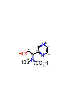 CC(C)(C)N(C(=O)O)C(CO)c1cnccn1